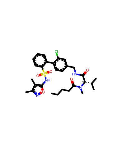 CCCCC(=O)N(C)[C@H](C(=O)NCc1ccc(-c2ccccc2S(=O)(=O)Nc2onc(C)c2C)c(Cl)c1)C(C)C